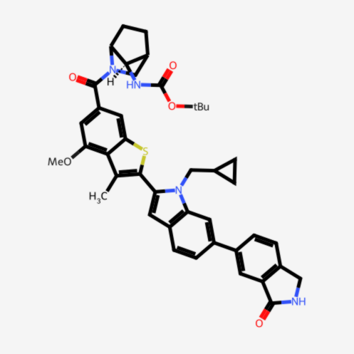 COc1cc(C(=O)N2CC3CCC2[C@@H]3NC(=O)OC(C)(C)C)cc2sc(-c3cc4ccc(-c5ccc6c(c5)C(=O)NC6)cc4n3CC3CC3)c(C)c12